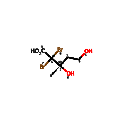 C[C@@](O)(CCO)C(Br)(Br)C(=O)O